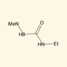 CCNC(=O)BNC